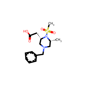 C[C@@H]1CN(Cc2ccccc2)C[C@H](CC(=O)O)N1S(C)(=O)=O